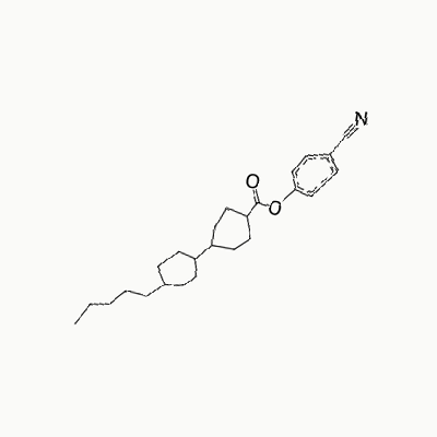 CCCCCC1CCC(C2CCC(C(=O)Oc3ccc(C#N)cc3)CC2)CC1